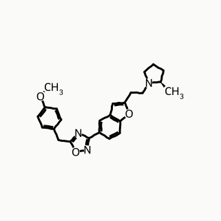 COc1ccc(Cc2nc(-c3ccc4oc(CCN5CCC[C@H]5C)cc4c3)no2)cc1